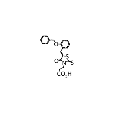 O=C(O)CCN1C(=O)/C(=C/c2ccccc2OCc2ccccc2)SC1=S